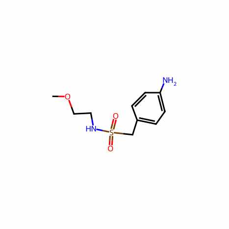 COCCNS(=O)(=O)Cc1ccc(N)cc1